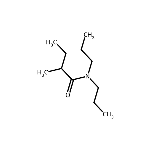 CCCN(CCC)C(=O)C(C)CC